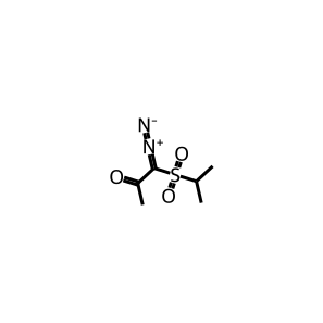 CC(=O)C(=[N+]=[N-])S(=O)(=O)C(C)C